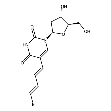 O=c1[nH]c(=O)n([C@H]2C[C@H](O)[C@@H](CO)O2)cc1/C=C/C=C/Br